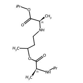 CC(C)N[C@@H](C)C(=O)OC(C)CCN[C@H](C)C(=O)OC(C)C